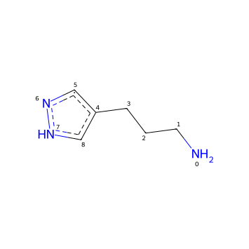 NCCCc1[c]n[nH]c1